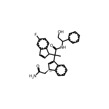 CC(C(=O)NC(CO)c1ccccc1)(C1=C[C@H](CC(N)=O)c2ccccc21)C1C=Cc2cc(F)ccc21